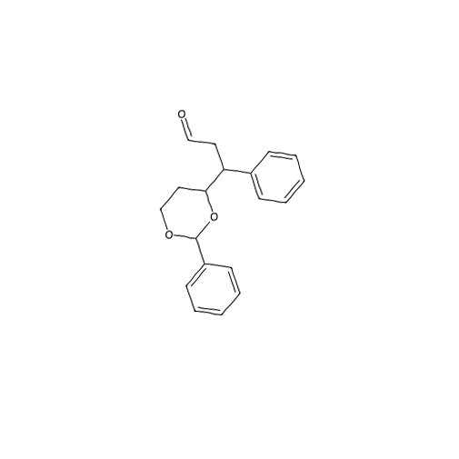 O=CCC(c1ccccc1)C1CCOC(c2ccccc2)O1